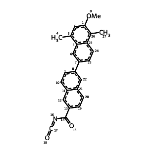 COc1cc(C)c2cc(-c3ccc4cc(C(=O)N=C=O)ccc4c3)ccc2c1C